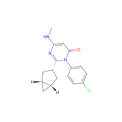 CNc1cc(=O)n(-c2ccc(Cl)cc2)c([C@@H]2C[C@@H]3C[C@@H]3C2)n1